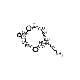 NCCOCCNC(=O)[C@@H]1CCNC(=O)CCC(=O)N2CCC[C@H](C2)C(=O)N[C@@H](Cc2ccco2)C(=O)CNCc2ccccc2CC(=O)N1